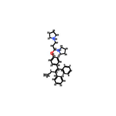 CCC(=C(c1ccccc1)c1ccc(OC(CCN2CCCC2)N2CCCC2)cc1)c1ccccc1